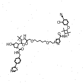 CC(C)(C)[C@H](NC(=O)COCCCCCOCCn1cc(C(=O)N[C@H]2C(C)(C)[C@H](Oc3ccc(C#N)c(Cl)c3)C2(C)C)cn1)C(=O)C1C[C@H](O)C[C@H]1C(=O)NCc1ccc(-c2cncs2)cc1